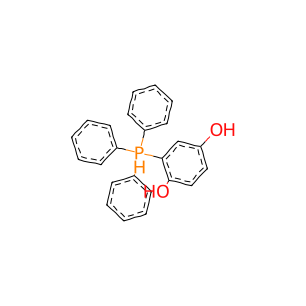 Oc1ccc(O)c([PH](c2ccccc2)(c2ccccc2)c2ccccc2)c1